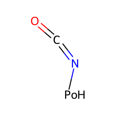 O=C=[N][PoH]